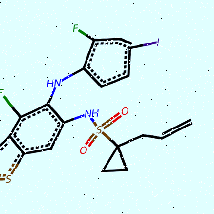 C=CCC1(S(=O)(=O)Nc2cc3scnc3c(F)c2Nc2ccc(I)cc2F)CC1